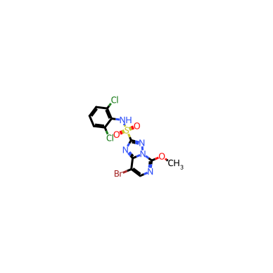 COc1ncc(Br)c2nc(S(=O)(=O)Nc3c(Cl)cccc3Cl)nn12